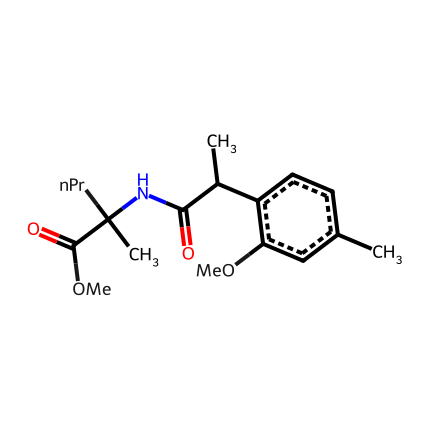 CCCC(C)(NC(=O)C(C)c1ccc(C)cc1OC)C(=O)OC